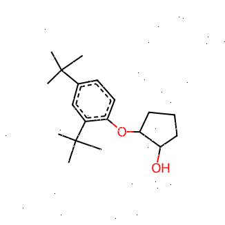 CC(C)(C)c1ccc(OC2CCCC2O)c(C(C)(C)C)c1